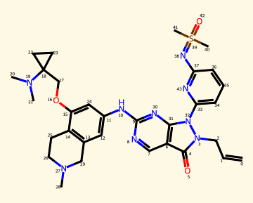 C=CCn1c(=O)c2cnc(Nc3cc4c(c(OCC5(N(C)C)CC5)c3)CCN(C)C4)nc2n1-c1cccc(N=S(C)(C)=O)n1